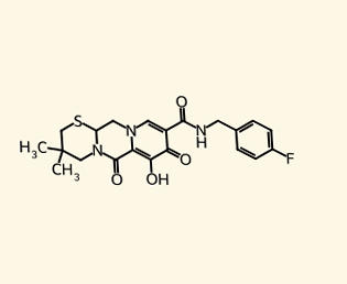 CC1(C)CSC2Cn3cc(C(=O)NCc4ccc(F)cc4)c(=O)c(O)c3C(=O)N2C1